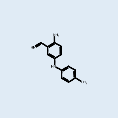 Cc1ccc(Nc2ccc(N)c(C=N)c2)cc1